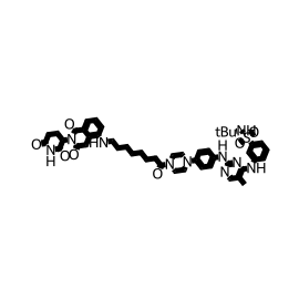 Cc1cnc(Nc2ccc(N3CCN(C(=O)CCCCCCCNc4cccc5c4CC(=O)N(C4CCC(=O)NC4=O)C5=O)CC3)cc2)nc1Nc1cccc(S(=O)(=O)NC(C)(C)C)c1